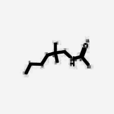 CCCCC(C)(C)CNC(C)=O